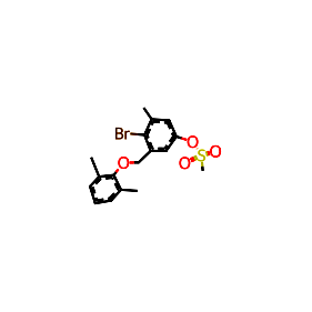 Cc1cc(OS(C)(=O)=O)cc(COc2c(C)cccc2C)c1Br